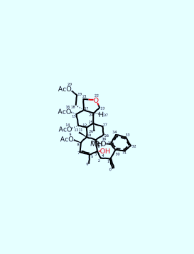 C=C(C[C@@]1(O)C(C)=C[C@@H](OC(C)=O)[C@]2(C)C3[C@H](OC(C)=O)[C@H](OC(C)=O)[C@@]4(CCOC(C)=O)COC[C@H]4[C@]3(C)CC[C@H]21)c1ccccc1OC